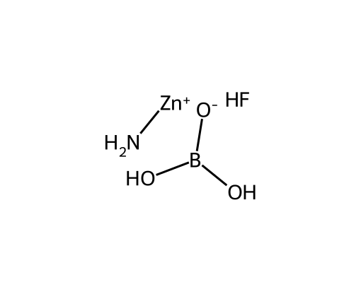 F.[NH2][Zn+].[O-]B(O)O